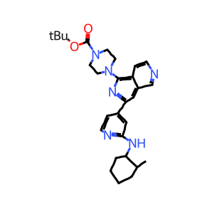 CC1CCCCC1Nc1cc(-c2cc3cnccc3c(N3CCN(C(=O)OC(C)(C)C)CC3)n2)ccn1